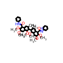 COc1cc2c(OC)c(-c3c(C)cc4c(C(=O)Nc5ccccc5)c(OC)c(OC)cc4c3OC)c(C)cc2c(C(=O)Nc2ccccc2)c1OC